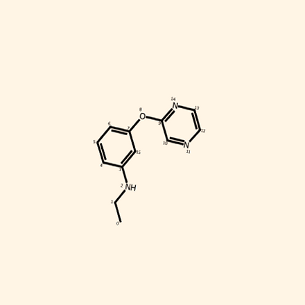 CCNc1cccc(Oc2cnccn2)c1